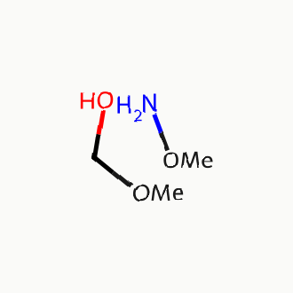 COCO.CON